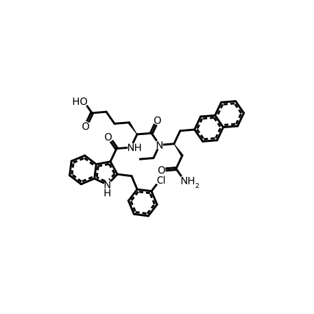 CCN(C(=O)[C@H](CCCC(=O)O)NC(=O)c1c(Cc2ccccc2Cl)[nH]c2ccccc12)[C@H](CC(N)=O)Cc1ccc2ccccc2c1